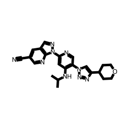 CC(C)Nc1cc(-n2ncc3cc(C#N)cnc32)ncc1-n1cc(C2CCOCC2)nn1